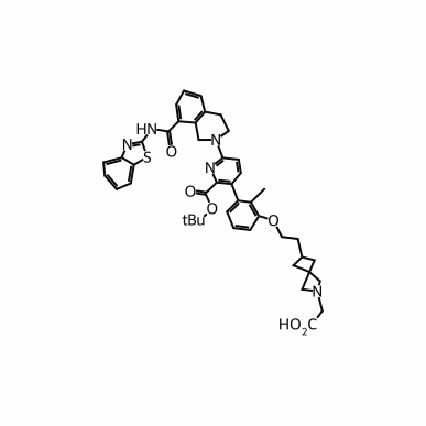 Cc1c(OCCC2CC3(C2)CN(CC(=O)O)C3)cccc1-c1ccc(N2CCc3cccc(C(=O)Nc4nc5ccccc5s4)c3C2)nc1C(=O)OC(C)(C)C